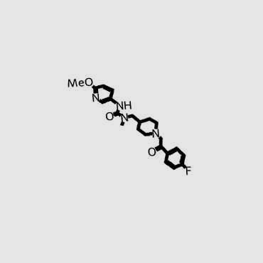 COc1ccc(NC(=O)N(C)CC2CCN(CC(=O)c3ccc(F)cc3)CC2)cn1